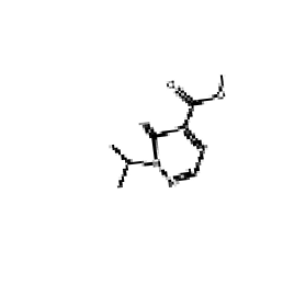 COC(=O)c1ccnn(C(C)C)c1=O